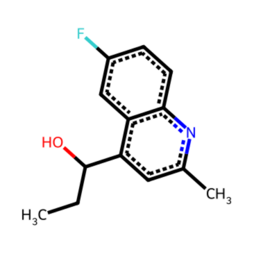 CCC(O)c1cc(C)nc2ccc(F)cc12